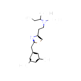 Cc1cc(C)cc(Cc2nc(CCN(C(=O)O)C(CC(C)C)C(=O)O)cs2)c1